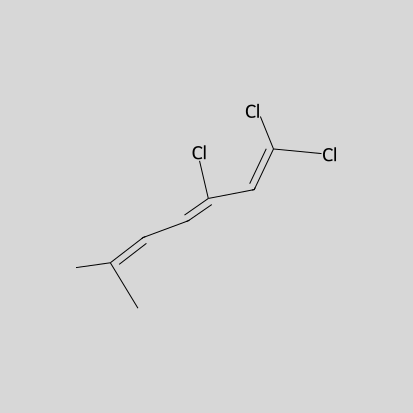 CC(C)=CC=C(Cl)C=C(Cl)Cl